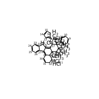 Cl.Cl.[CH2]=[Zr]([CH3])([CH2]c1ccccc1)([C]1=CC=CC1)[C]1(C)C2=C3Cc4ccccc4C3=C3C=CCCC3C2(C)C(C)(C)C(C)(C)C1(C)C